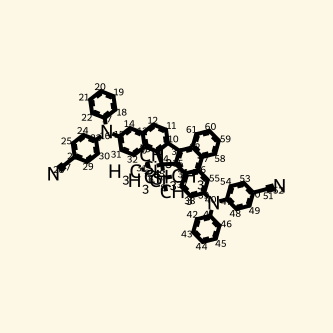 C[Si](C)(C)C1([Si](C)(C)C)c2c(ccc3cc(N(c4ccccc4)c4ccc(C#N)cc4)ccc23)-c2c1c1ccc(N(c3ccccc3)c3ccc(C#N)cc3)cc1c1ccccc21